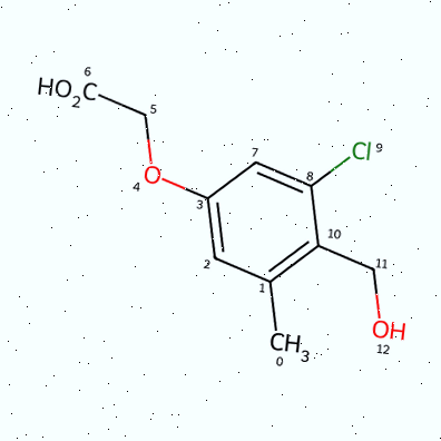 Cc1cc(OCC(=O)O)cc(Cl)c1CO